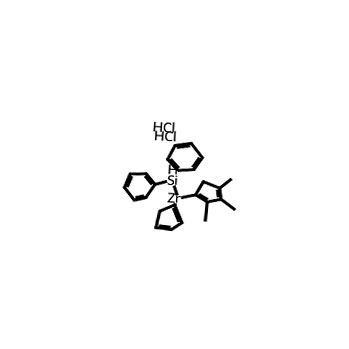 CC1=C(C)C(C)=[C]([Zr]([C]2=CC=CC2)[SiH](c2ccccc2)c2ccccc2)C1.Cl.Cl